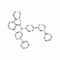 c1ccc(-c2cccc(-c3ccc(N(c4cccc(-c5ccccc5)c4)c4cc5ccccc5c5ccccc45)cc3)c2)cc1